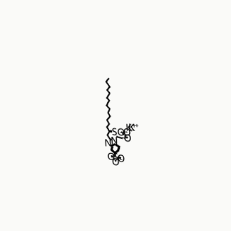 CCCCCCCCCCCCCCC(=S)Cc1nc2cc(S(=O)(=O)[O-])ccc2n1CCS(=O)(=O)[O-].[K+].[K+]